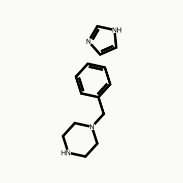 c1c[nH]cn1.c1ccc(CN2CCNCC2)cc1